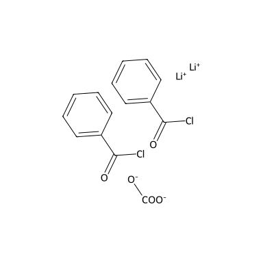 O=C(Cl)c1ccccc1.O=C(Cl)c1ccccc1.O=C([O-])[O-].[Li+].[Li+]